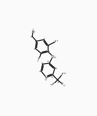 Fc1cc(CBr)cc(F)c1Oc1ccnc(C(F)(F)F)c1